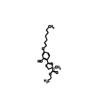 CCCCCCCOc1ccc(C2=N[C@@](C)(C(=O)OCC)CS2)c(O)c1